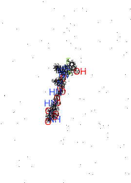 C#Cc1c(F)ccc2cc(O)cc(-c3ncc4c(N5CC6CCC(C5)N6)nc(OC[C@@]56CC[C@@H](COC(=O)NCCOCC(=O)Nc7ccc8c(c7)C(=O)N(C7CCC(=O)NC7=O)C8=O)N5CC(=C)C6)nc4c3F)c12